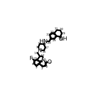 O=c1ccc2ccc(F)c3c2n1CC3CN1CCC(NCc2ccc3c(c2)C(O)CCC3)CC1